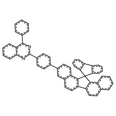 c1ccc(-c2nc(-c3ccc(-c4ccc5c6c(ccc5c4)-c4ccc5ccccc5c4C64c5ccccc5-c5ccccc54)cc3)nc3ccccc23)cc1